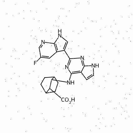 O=C(O)C1C2CCC(CC2)C1Nc1nc(-c2c[nH]c3ncc(F)cc23)nc2[nH]ccc12